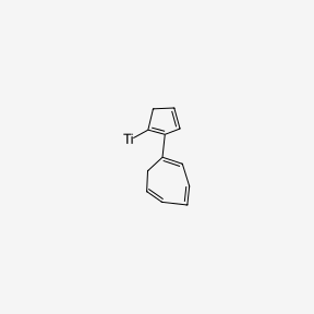 [Ti][C]1=C(C2=CC=CC=CC2)C=CC1